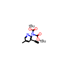 C#Cc1cc(C)cnc1N(C(=O)OC(C)(C)C)C(=O)OC(C)(C)C